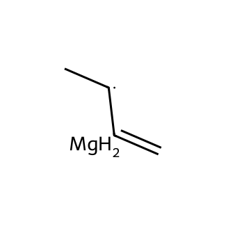 C=C[CH]C.[MgH2]